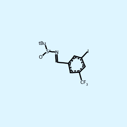 CC(C)(C)[S+]([O-])/N=C/c1cc(I)cc(C(F)(F)F)c1